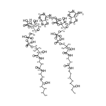 CCC(O)CCSCCNC(=O)CCNC(=O)[C@H](O)C(C)(C)COP(=O)(O)OP(=O)(O)OC[C@H]1O[C@@H](n2cnc3c(N)ncnc32)[C@H](O)[C@@H]1OP(=O)(O)O.CCCCC(O)SCCNC(=O)CCNC(=O)[C@H](O)C(C)(C)COP(=O)(O)OP(=O)(O)OC[C@H]1O[C@@H](n2cnc3c(N)ncnc32)[C@H](O)[C@@H]1OP(=O)(O)O